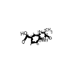 Cc1nc2cc(C(=O)O)ccc2[nH]c1=O